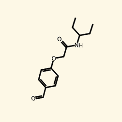 CCC(CC)NC(=O)COc1ccc(C=O)cc1